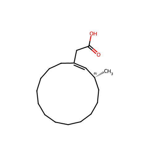 C[C@H]1C=C(CC(=O)O)CCCCCCCCCCCC1